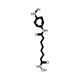 CC(C)Nc1ccc(NC(=O)CCCCCCC(=O)NO)cc1